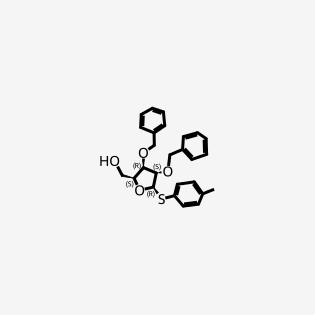 Cc1ccc(S[C@H]2O[C@@H](CO)[C@@H](OCc3ccccc3)[C@@H]2OCc2ccccc2)cc1